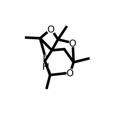 CC12CC34CC(C)(O1)PC3(C)OC4(C)O2